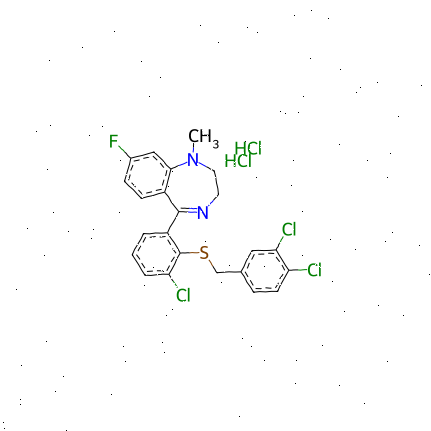 CN1CCN=C(c2cccc(Cl)c2SCc2ccc(Cl)c(Cl)c2)c2ccc(F)cc21.Cl.Cl